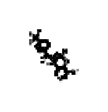 O=C(N1C[C@@H]2C[C@H]1c1cncc(Br)c1O2)C12CCC(C(F)(F)F)(CC1)C2